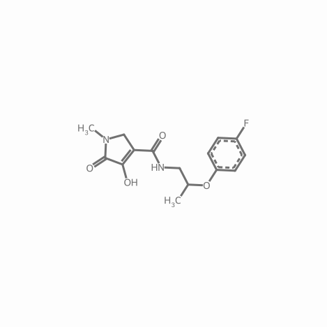 CC(CNC(=O)C1=C(O)C(=O)N(C)C1)Oc1ccc(F)cc1